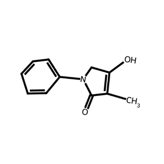 CC1=C(O)CN(c2ccccc2)C1=O